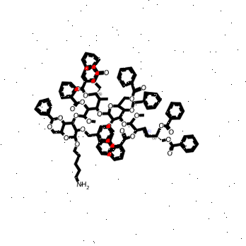 COC(OC1C(OCc2ccccc2)C(COC(=O)c2ccccc2)OC(OC(C(OC(=O)c2ccccc2)C(OC)OC2C3OC(c4ccccc4)OCC3OC(OCCCCCN)C2OCc2ccccc2)C(C)[C@@H](COC(=O)c2ccccc2)OC(=O)c2ccccc2)C1OCc1ccccc1)C(/C=C/[C@@H](COC(=O)c1ccccc1)OC(=O)c1ccccc1)OC(=O)c1ccccc1